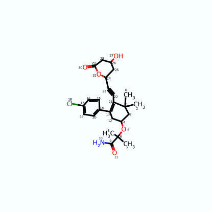 CC1(C)CC(OC(C)(C)C(N)=O)CC(c2ccc(Cl)cc2)=C1C#CC1CC(O)CC(=O)O1